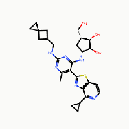 Cc1nc(NCC2CC3(CC3)C2)nc(N[C@@H]2C[C@H](CO)[C@@H](O)[C@H]2O)c1-c1nc2c(C3CC3)nccc2s1